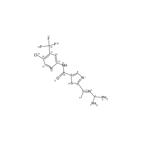 C/C(=N\C(P)P)c1ncc(C(=O)Nc2cc(C(F)(F)F)c(Cl)cn2)s1